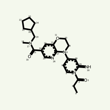 CCC(=O)n1ccc(N2CCOc3cc(C(=O)N(C)CC4CCCC4)cnc32)cc1=N